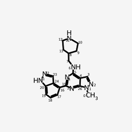 Cn1ncc2c(NCC3CCNCC3)nc(-c3cccc4[nH]ncc34)nc21